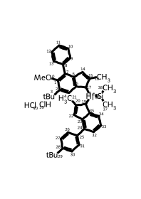 COc1c(C(C)(C)C)cc2c(c1-c1ccccc1)C=C(C)[CH]2[Hf]([CH]1C(C)=Cc2c(-c3ccc(C(C)(C)C)cc3)cccc21)=[Si](C)C.Cl.Cl